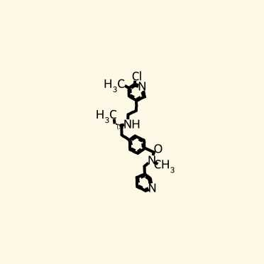 CC[C@@H](Cc1ccc(C(=O)N(C)Cc2cccnc2)cc1)NCCc1cnc(Cl)c(C)c1